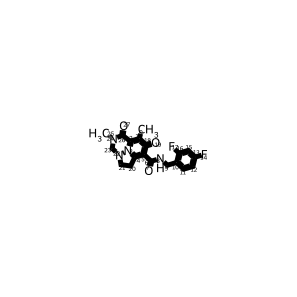 Cc1c2n3c(c(C(=O)NCc4ccc(F)cc4F)c1=O)CCN3CN(C)C2=O